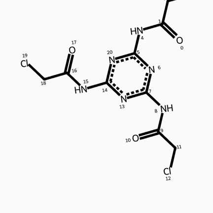 O=C(CCl)Nc1nc(NC(=O)CCl)nc(NC(=O)CCl)n1